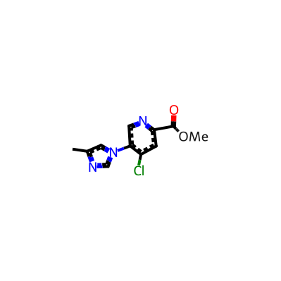 COC(=O)c1cc(Cl)c(-n2cnc(C)c2)cn1